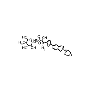 C/C(=C(/C#N)S(=O)(=O)NC[C@H]1OC(O)[C@H](C)[C@@H](O)[C@@H]1O)c1ccc(-c2ccc3cc(N4CCOCC4)ccc3c2)o1